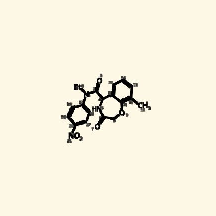 CCN(C(=O)C1NC(=O)COc2c(C)cccc21)c1ccc([N+](=O)[O-])cc1